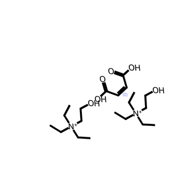 CC[N+](CC)(CC)CCO.CC[N+](CC)(CC)CCO.O=C(O)/C=C\C(=O)O